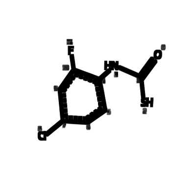 O=C(S)Nc1ccc(Cl)cc1F